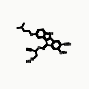 C#CC(CC(C)C)O/N=C1/c2cc(OC)c(OC)cc2-c2[nH]c3ccc(OCCN(C)C)cc3c21.Cl